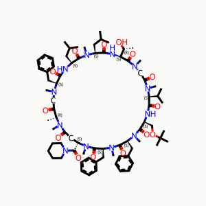 CC(C)C[C@@H]1NC(=O)[C@H](Cc2ccccc2)N(C)CC(=O)[C@@H](C)N(C)C(=O)C[C@@H](C(=O)N2CCCCC2)N(C)C(=O)[C@H](Cc2ccccc2)N(C)C(=O)[C@H](Cc2ccccc2)N(C)C(=O)[C@H](COC(C)(C)C)NC(=O)[C@H](C(C)C)N(C)C(=O)CN(C)C(=O)[C@H]([C@@H](C)O)NC(=O)[C@H](CC(C)C)N(C)C1=O